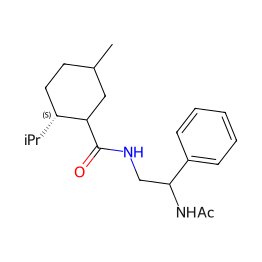 CC(=O)NC(CNC(=O)C1CC(C)CC[C@H]1C(C)C)c1ccccc1